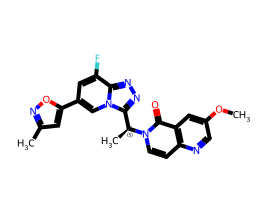 COc1cnc2ccn([C@@H](C)c3nnc4c(F)cc(-c5cc(C)no5)cn34)c(=O)c2c1